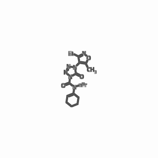 CCCN(C(=O)n1nnn(-c2c(CC)noc2C)c1=O)C1=CCCCC1